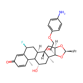 CCC[C@@H]1O[C@@H]2C[C@H]3[C@@H]4C[C@H](F)C5=CC(=O)C=C[C@]5(C)C4[C@@H](O)C[C@]3(C)[C@]2(C(=O)COc2ccc(N)cc2)O1